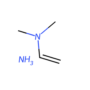 C=CN(C)C.N